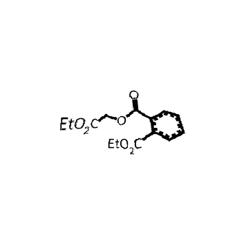 CCOC(=O)COC(=O)c1ccccc1C(=O)OCC